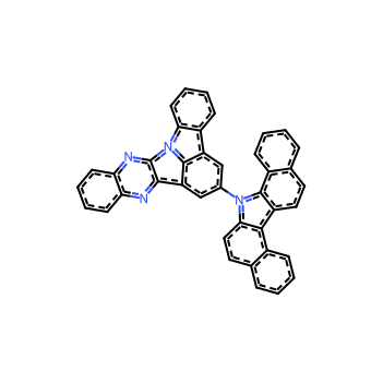 c1ccc2c(c1)ccc1c2c2ccc3ccccc3c2n1-c1cc2c3ccccc3n3c4nc5ccccc5nc4c(c1)c23